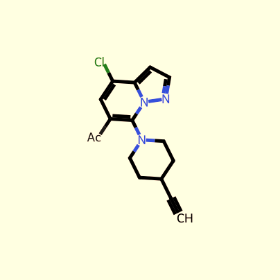 C#CC1CCN(c2c(C(C)=O)cc(Cl)c3ccnn23)CC1